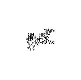 CCc1c(C(c2ccccc2)c2ccn(C)n2)nc2cc(OC)c(C(=O)Nc3ncn(CC)n3)cn12